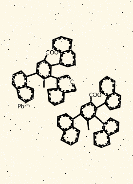 Cc1c(-c2cccc3ccccc23)cc(C(=O)[O-])c(-c2cccc3ccccc23)c1-c1cccc2ccccc12.Cc1c(-c2cccc3ccccc23)cc(C(=O)[O-])c(-c2cccc3ccccc23)c1-c1cccc2ccccc12.[Pb+2]